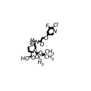 CC(C)(C)OC(=O)N1C[C@@H](NC(=O)COc2cnc(Cl)c(F)c2)[SiH2]CC[C@@H]1C(=O)O